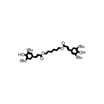 CC(C)(C)C1=CC(C=CC(=O)OCCCCCCOC(=O)C=CC2C=C(C(C)(C)C)C(O)=C(C(C)(C)C)C2)CC(C(C)(C)C)=C1O